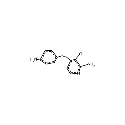 Nc1ccc(Oc2ccnc(N)c2Cl)cc1